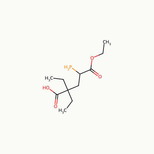 CCOC(=O)C(P)CC(CC)(CC)C(=O)O